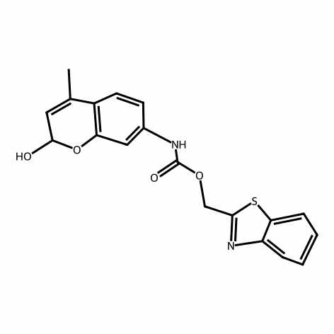 CC1=CC(O)Oc2cc(NC(=O)OCc3nc4ccccc4s3)ccc21